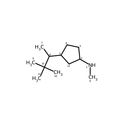 CNC1CCC(C(C)C(C)(C)C)C1